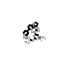 C=N/C=C(\N=C(/C)OC(C)C)NC(=O)N1c2nc(-c3ccnc(C)c3)ccc2N2CC[C@H]1C2